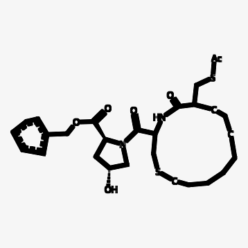 CC(=O)SCC1CCCCCCCCSCC(C(=O)N2C[C@H](O)C[C@H]2C(=O)OCc2ccccc2)NC1=O